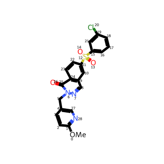 COc1ccc(Cn2ncc3cc(S(=O)(=O)c4cccc(Cl)c4)ccc3c2=O)cn1